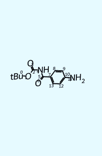 CC(C)(C)OC(=O)NC(=O)c1ccc(N)cc1